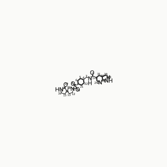 O=C(NCc1ccc(S(=O)(=O)N2CCC3(CCNC3=O)C2)cc1)c1cnc2[nH]ncc2c1